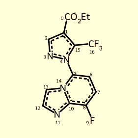 CCOC(=O)c1cnn(-c2ccc(F)c3nccn23)c1C(F)(F)F